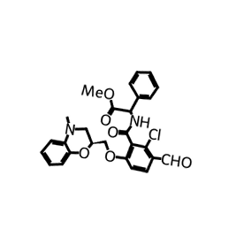 COC(=O)C(NC(=O)c1c(OC[C@@H]2CN(C)c3ccccc3O2)ccc(C=O)c1Cl)c1ccccc1